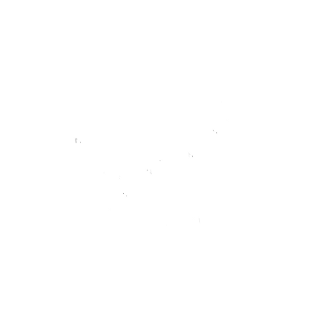 CCc1ccccc1CN(C)C(=O)C(Cc1c[nH]c2ccccc12)NC(=O)CN1CCN(c2ccccc2)CC1